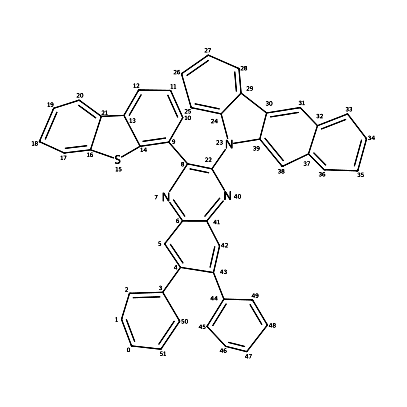 c1ccc(-c2cc3nc(-c4cccc5c4sc4ccccc45)c(-n4c5ccccc5c5cc6ccccc6cc54)nc3cc2-c2ccccc2)cc1